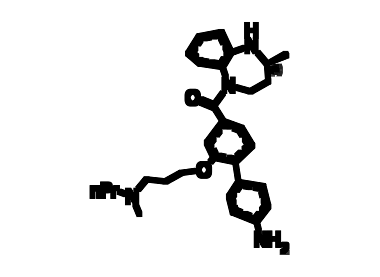 CCCN(C)CCCOc1cc(C(=O)N2CC[C@H](C)Nc3ccccc32)ccc1-c1ccc(N)cc1